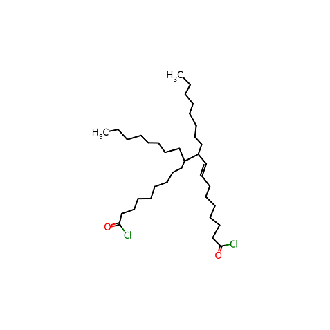 CCCCCCCCC(/C=C/CCCCCCC(=O)Cl)C(CCCCCCCC)CCCCCCCCC(=O)Cl